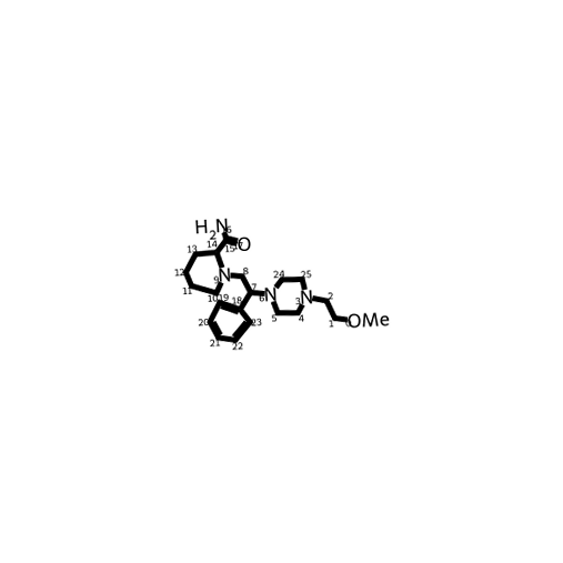 COCCN1CCN(C(CN2CC[CH]CC2C(N)=O)c2ccccc2)CC1